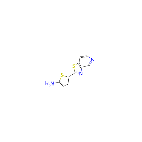 NC1=CCC(c2nc3cnccc3s2)S1